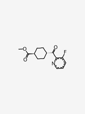 COC(=O)[C@H]1CC[C@H](C(=O)c2ncccc2F)CC1